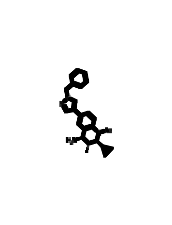 CC(=O)N1c2ccc(-c3cnn(Cc4ccccc4)c3)cc2[C@H](N)[C@@H](C)[C@@H]1C1CC1